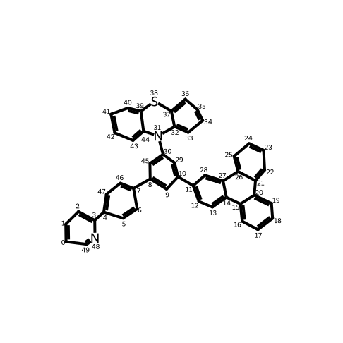 c1ccc(-c2ccc(-c3cc(-c4ccc5c6ccccc6c6ccccc6c5c4)cc(N4c5ccccc5Sc5ccccc54)c3)cc2)nc1